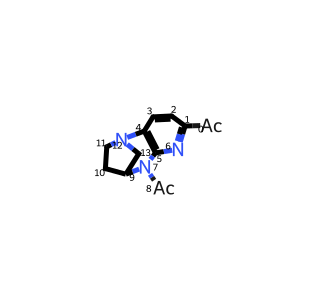 CC(=O)c1ccc2c(n1)N(C(C)=O)C1CCN2C1